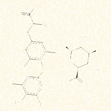 NC(Cc1cc(I)c(Oc2cc(I)c(O)c(I)c2)c(I)c1)C(=O)O.O=C(O)[C@H]1O[C@@H](O)[C@H](O)[C@@H](O)[C@@H]1O